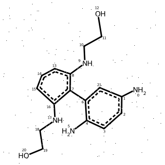 Nc1ccc(N)c(-c2c(NCCO)cccc2NCCO)c1